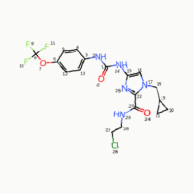 O=C(Nc1ccc(OC(F)(F)F)cc1)Nc1cn(CC2CC2)c(C(=O)NCCCl)n1